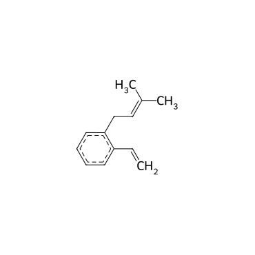 C=Cc1ccccc1CC=C(C)C